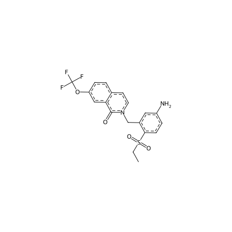 CCS(=O)(=O)c1ccc(N)cc1Cn1ccc2ccc(OC(F)(F)F)cc2c1=O